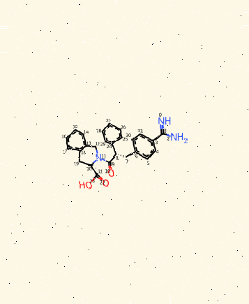 N=C(N)c1ccc(C[C@H](C(=O)N2Cc3ccccc3CC2C(=O)O)c2ccccc2)cc1